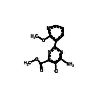 COC(=O)c1nc(-c2cccnc2OC)nc(N)c1Cl